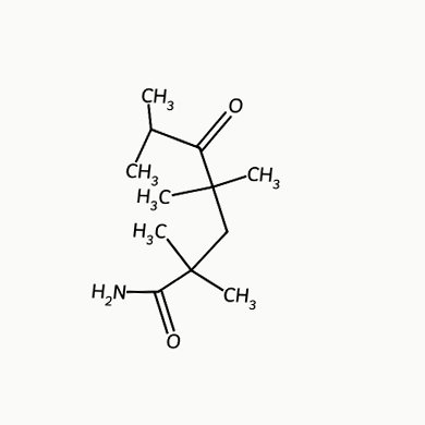 CC(C)C(=O)C(C)(C)CC(C)(C)C(N)=O